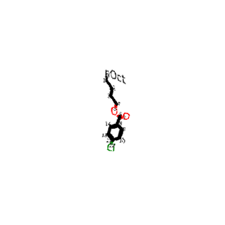 CCCCCCCCCCCCOC(=O)c1c[c]c(Cl)cc1